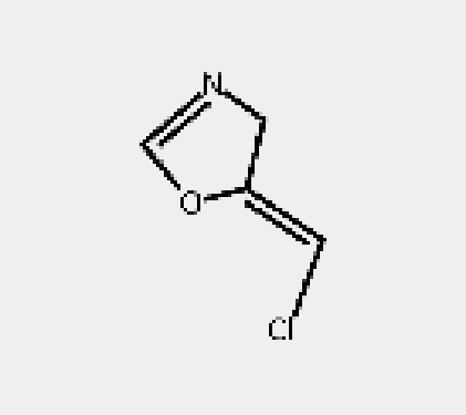 Cl/C=C1/CN=CO1